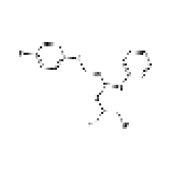 CCCC(CC(C)C)SC(C=CSc1ccc(F)cc1)=Nc1ccccc1